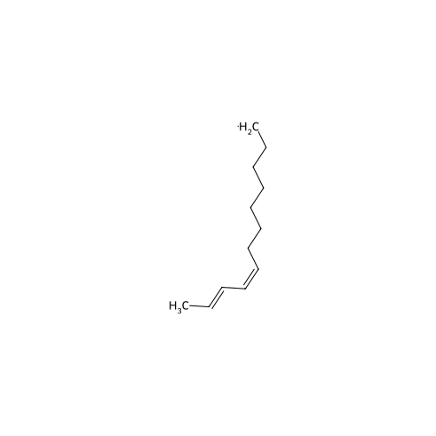 [CH2]CCCCCC/C=C\C=C\C